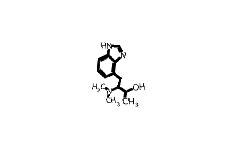 CC(O)C(Cc1cccc2[nH]cnc12)N(C)C